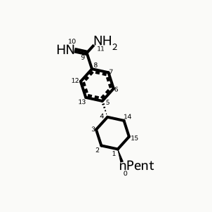 CCCCC[C@H]1CC[C@H](c2ccc(C(=N)N)cc2)CC1